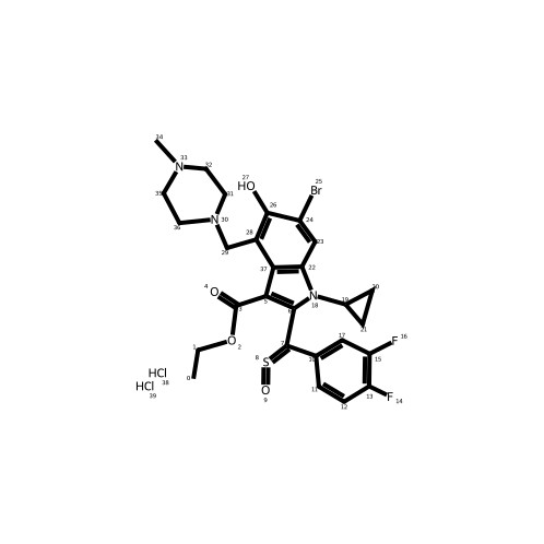 CCOC(=O)c1c(C(=S=O)c2ccc(F)c(F)c2)n(C2CC2)c2cc(Br)c(O)c(CN3CCN(C)CC3)c12.Cl.Cl